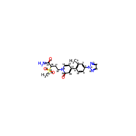 Cc1cc(-n2nccn2)ccc1-c1ccn(CCC(C(N)=O)S(C)(=O)=O)c(=O)c1